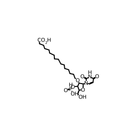 O=C(O)CCCCCCCCCCCCCCCOC1C(O[PH](=O)O)C(CO)OC1n1ccc(=O)[nH]c1=O